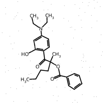 CCCCC(C)(OC(=O)c1ccccc1)C(=O)c1ccc(N(CC)CC)cc1O